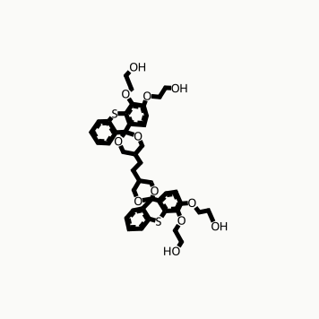 OCCOc1ccc2c(c1OCCO)Sc1ccccc1C21OCC(CCC2COC3(OC2)c2ccccc2Sc2c3ccc(OCCO)c2OCCO)CO1